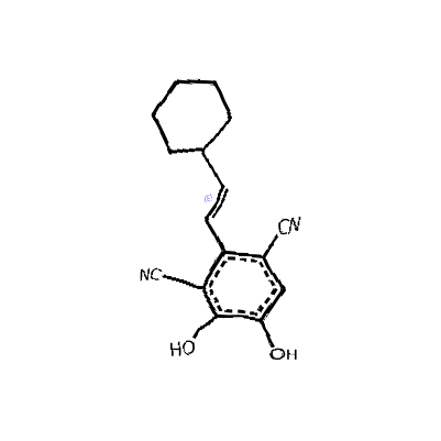 N#Cc1cc(O)c(O)c(C#N)c1/C=C/C1CCCCC1